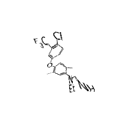 CCN(C=N)c1cc(C)c(Oc2ccc(Cl)c(C(F)(F)F)c2)cc1C